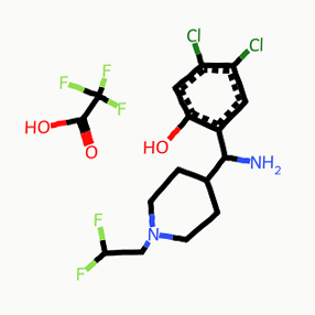 NC(c1cc(Cl)c(Cl)cc1O)C1CCN(CC(F)F)CC1.O=C(O)C(F)(F)F